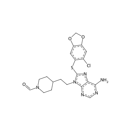 Nc1ncnc2c1nc(Sc1cc3c(cc1Cl)OCO3)n2CCC1CCN(C=O)CC1